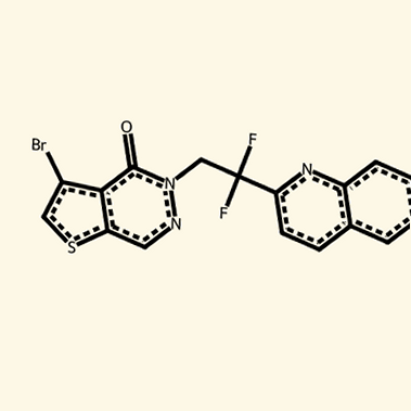 O=c1c2c(Br)csc2cnn1CC(F)(F)c1ccc2ccccc2n1